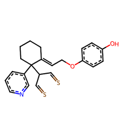 Oc1ccc(OCC=C2CCCCC2(c2cccnc2)C(C=S)C=S)cc1